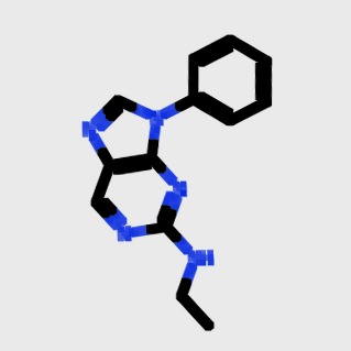 CCNc1ncc2ncn(-c3ccccc3)c2n1